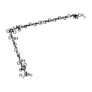 CC(=O)[C@@H](N)CSC1CC(=O)N(CCC(=O)NCCCOCCOCCOCCCNC(=O)CCN2C(=O)CC(SCCC(=O)NCCOCCOCCOCCOCCOCCOCCOCCOCCOCCOCCn3cc(C)nn3)C2=O)C1=O